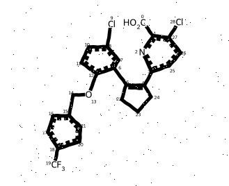 O=C(O)c1nc(C2=C(c3cc(Cl)ccc3OCc3ccc(C(F)(F)F)cc3)CCC2)ccc1Cl